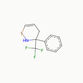 FC(F)(F)C1(c2ccccc2)CC=CSN1